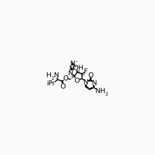 CC(C)C(N)C(=O)OC[C@@]1(N=[N+]=[N-])OC(n2ccc(N)nc2=O)[C@H](F)[C@@H]1O